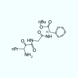 CCCCOC(=O)[C@@H](NC(=O)CNC(=O)C(=O)C(N)CCC)c1ccccc1